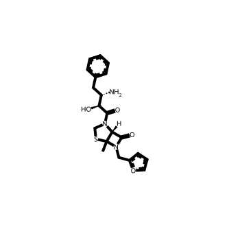 CC12SCN(C(=O)[C@@H](O)[C@@H](N)Cc3ccccc3)[C@@H]1C(=O)N2Cc1ccco1